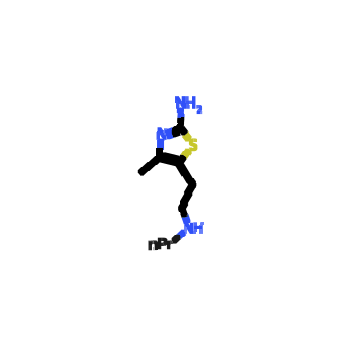 CCCNCCc1sc(N)nc1C